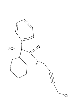 O=C(NCC#CCCl)C(O)(c1ccccc1)C1CCCCC1